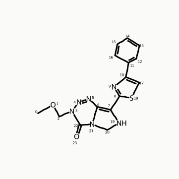 COCN1N=NC2=C(c3nc(-c4ccccc4)cs3)NCN2C1=O